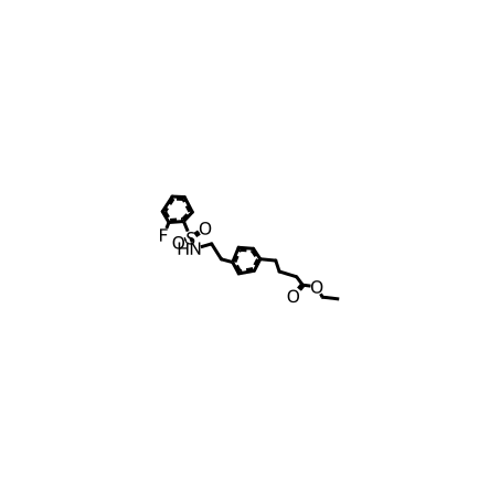 CCOC(=O)CCCc1ccc(CCNS(=O)(=O)c2ccccc2F)cc1